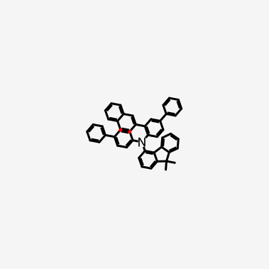 CC1(C)c2ccccc2-c2c(N(c3ccc(-c4ccccc4)cc3)c3ccc(-c4ccccc4)cc3-c3ccc4ccccc4c3)cccc21